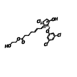 O=C(CCCC=CC[C@@H]1[C@@H](COc2cc(Cl)cc(Cl)c2)[C@H](O)C[C@H]1Cl)OCCO